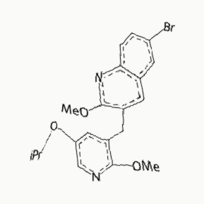 COc1ncc(OC(C)C)cc1Cc1cc2cc(Br)ccc2nc1OC